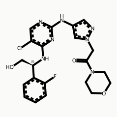 O=C(Cn1cc(Nc2ncc(Cl)c(N[C@H](CO)c3ccccc3F)n2)cn1)N1CCOCC1